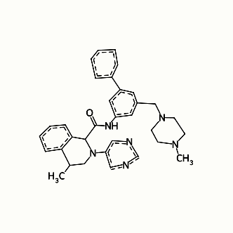 CC1CN(c2cncnc2)C(C(=O)Nc2cc(CN3CCN(C)CC3)cc(-c3ccccc3)c2)c2ccccc21